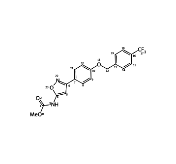 COC(=O)Nc1cc(-c2ccc(OCc3ccc(C(F)(F)F)cc3)cc2)no1